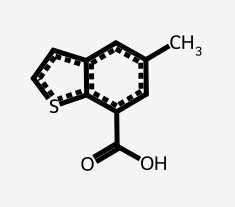 Cc1cc(C(=O)O)c2sccc2c1